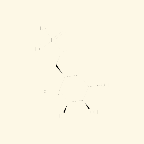 O=P(O)(O)OC[C@H]1OC(O)[C@@H](O)[C@@H](O)[C@@H]1F